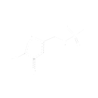 CS(=O)(=O)OCc1cc(=O)c(O)co1